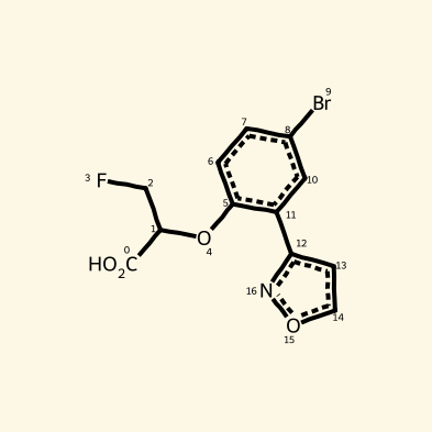 O=C(O)C(CF)Oc1ccc(Br)cc1-c1ccon1